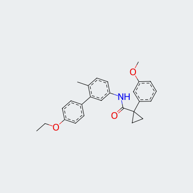 CCOc1ccc(-c2cc(NC(=O)C3(c4cccc(OC)c4)CC3)ccc2C)cc1